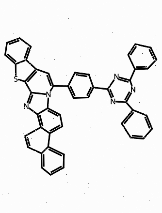 c1ccc(-c2nc(-c3ccccc3)nc(-c3ccc(-c4cc5c6ccccc6sc5c5nc6c7ccc8ccccc8c7ccc6n45)cc3)n2)cc1